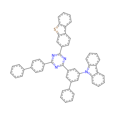 c1ccc(-c2ccc(-c3nc(-c4cc(-c5ccccc5)cc(-n5c6ccccc6c6ccccc65)c4)nc(-c4ccc5c(c4)sc4ccccc45)n3)cc2)cc1